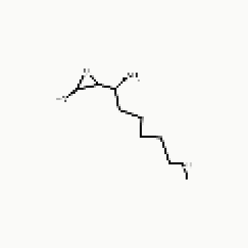 CNCCCCC[C@H](N)C1OC1O